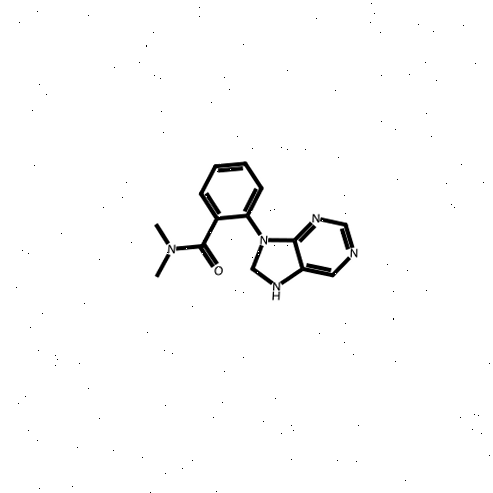 CN(C)C(=O)c1ccccc1N1CNc2cncnc21